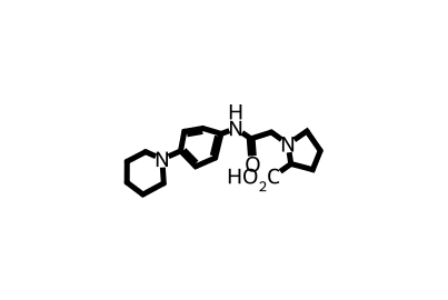 O=C(CN1CCCC1C(=O)O)Nc1ccc(N2CCCCC2)cc1